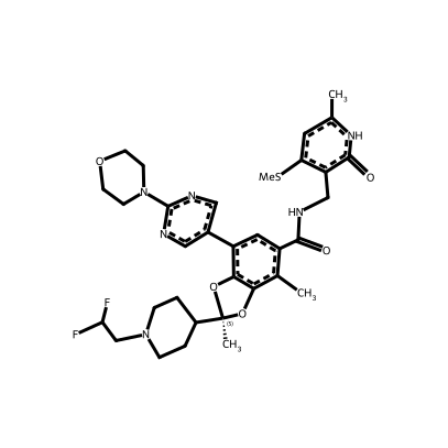 CSc1cc(C)[nH]c(=O)c1CNC(=O)c1cc(-c2cnc(N3CCOCC3)nc2)c2c(c1C)O[C@@](C)(C1CCN(CC(F)F)CC1)O2